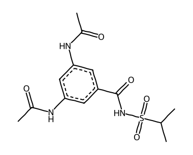 CC(=O)Nc1cc(NC(C)=O)cc(C(=O)NS(=O)(=O)C(C)C)c1